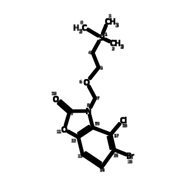 C[Si](C)(C)CCOCn1c(=O)oc2ccc(Br)c(Cl)c21